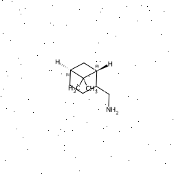 CC1(C)[C@H]2CCC(CN)[C@H]1C2